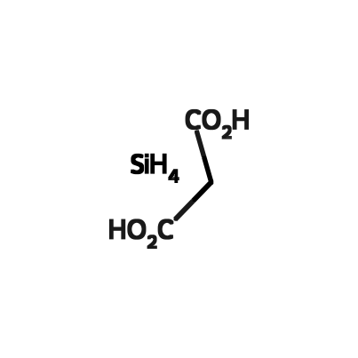 O=C(O)CC(=O)O.[SiH4]